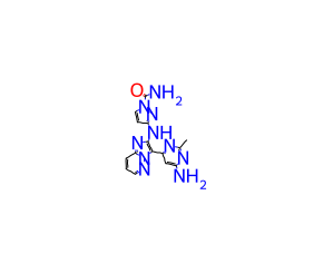 Cc1nc(N)cc(-c2c(Nc3ccn(C(N)=O)n3)nc3cccnn23)n1